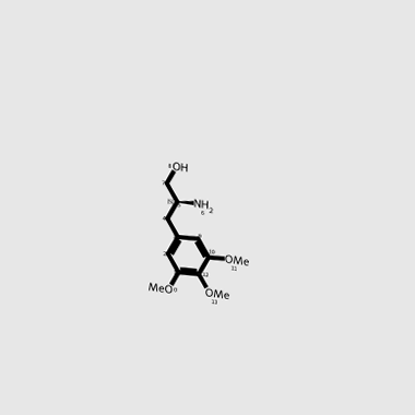 COc1cc(C[C@H](N)CO)cc(OC)c1OC